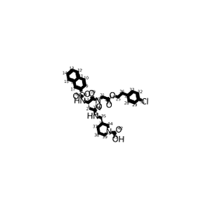 O=C(C[C@H](NS(=O)(=O)c1ccc2ccccc2c1)C(=O)NCC(=O)OCCc1ccc(Cl)cc1)NC[C@@H]1CCCN(C(=O)O)C1